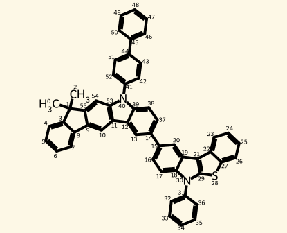 CC1(C)c2ccccc2-c2cc3c4cc(-c5ccc6c(c5)c5c7ccccc7sc5n6-c5ccccc5)ccc4n(-c4ccc(-c5ccccc5)cc4)c3cc21